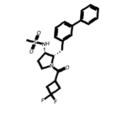 CS(=O)(=O)N[C@H]1CCN(C(=O)C2CC(F)(F)C2)[C@H]1Cc1cccc(-c2ccccc2)c1